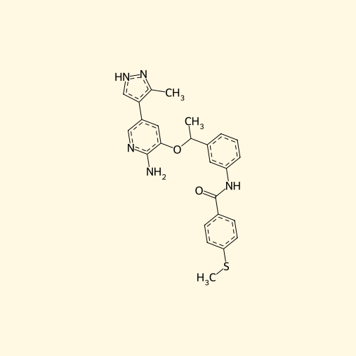 CSc1ccc(C(=O)Nc2cccc(C(C)Oc3cc(-c4c[nH]nc4C)cnc3N)c2)cc1